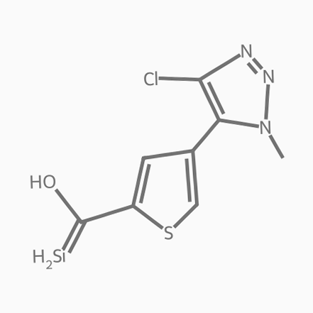 Cn1nnc(Cl)c1-c1csc(C(O)=[SiH2])c1